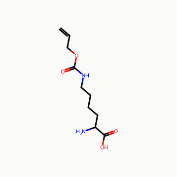 C=CCOC(=O)NCCCCC(N)C(=O)O